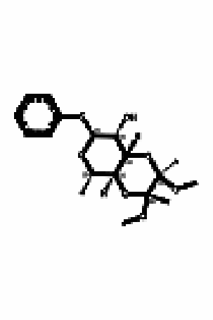 CO[C@]1(C)O[C@@H]2[C@@H](O[C@@]1(C)OC)[C@@H](O)[C@H](Sc1ccccc1)O[C@H]2C